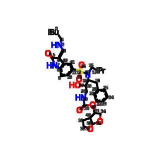 CCC(C)CNC=C1C(=O)Nc2ccc(S(=O)(=O)N(CC(C)C)C(Cc3ccccc3)C(O)CNC(=O)OC3COC4OCCC34)cc21